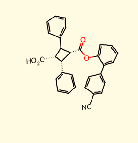 N#Cc1ccc(-c2ccccc2OC(=O)[C@H]2[C@H](c3ccccc3)[C@@H](C(=O)O)[C@H]2c2ccccc2)cc1